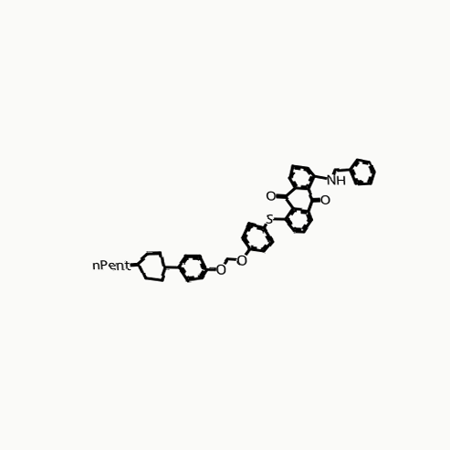 CCCCCC1CCC(c2ccc(OCOc3ccc(Sc4cccc5c4C(=O)c4cccc(NCc6ccccc6)c4C5=O)cc3)cc2)CC1